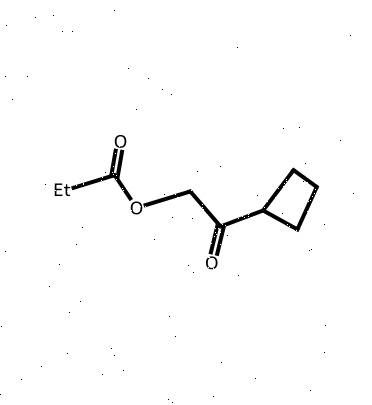 CCC(=O)OCC(=O)C1CCC1